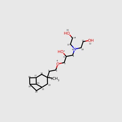 CC1(CCOCC(O)CN(CCO)CCO)CC2CC3CC(C1)C32